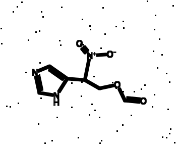 O=COCC(c1cnc[nH]1)[N+](=O)[O-]